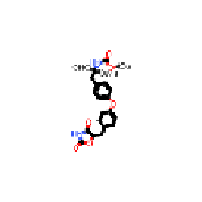 COC(C=O)(Cc1ccc(Oc2ccc(CC3OC(=O)NC3=O)cc2)cc1)NC(=O)OC(C)(C)C